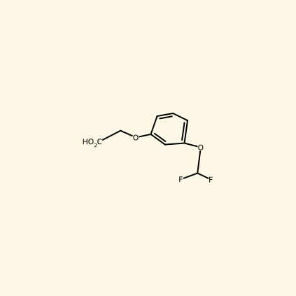 O=C(O)COc1cccc(OC(F)F)c1